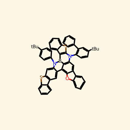 CC(C)(C)c1ccc(N2B3c4c(cc5c(oc6ccccc65)c4-c4cc5c(cc42)sc2ccccc25)N(c2ccc(C(C)(C)C)cc2-c2ccccc2)c2sc4ccccc4c23)cc1